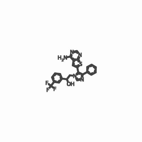 Nc1ncnc2sc(-c3c(-c4ccccc4)ncn3CC(O)c3cccc(C(F)(F)F)c3)cc12